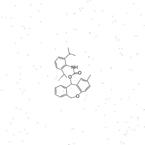 Cc1ccc2c(c1)C(OC(=O)Nc1c(C(C)C)cccc1C(C)C)c1ccccc1CO2